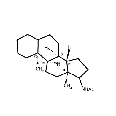 CC(=O)NC1CC[C@H]2[C@@H]3CCC4CCCC[C@]4(C)[C@@H]3CC[C@]12C